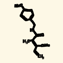 C=C/C(OC)=C(\C)C(=O)NCc1ccc(OC)cc1